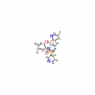 Cc1ccc(COc2cc(C)c(C)cc2N(CC(C)F)S(=O)(=O)c2cccnc2)nc1